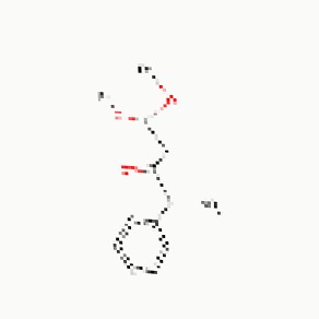 CCOC(CC(=O)C(c1ccccc1)[N+](=O)[O-])OCC